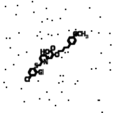 COc1ccc(CCCCO/C(=C/c2cccc(CSc3ccc(Cl)cc3Cl)n2)C(=O)O)cc1